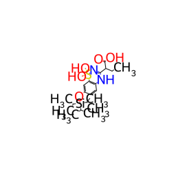 CCC(C(=O)O)C1=NS(O)(O)c2cc(O[Si](C(C)C)(C(C)C)C(C)C)ccc2N1